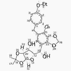 CCOc1ccc(Cc2cc([C@H](O)[C@@H]3O[C@H]4OC(C)(C)O[C@H]4[C@@H]3O)c3c(c2Cl)OCO3)cc1